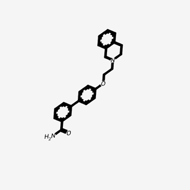 NC(=O)c1cccc(-c2ccc(OCCN3CCc4ccccc4C3)cc2)c1